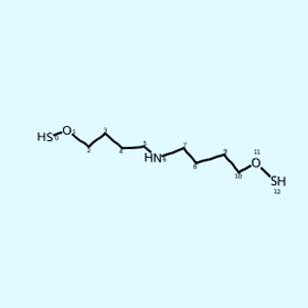 SOCCCCNCCCCOS